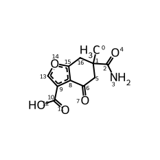 CC1(C(N)=O)CC(=O)c2c(C(=O)O)coc2C1